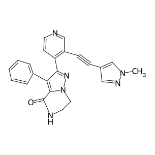 Cn1cc(C#Cc2cnccc2-c2nn3c(c2-c2ccccc2)C(=O)NCC3)cn1